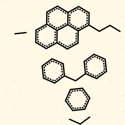 CC.CCC.CCCc1ccc2ccc3cccc4ccc1c2c34.c1ccc(Cc2ccccc2)cc1.c1ccccc1